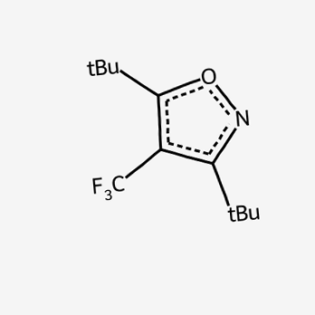 CC(C)(C)c1noc(C(C)(C)C)c1C(F)(F)F